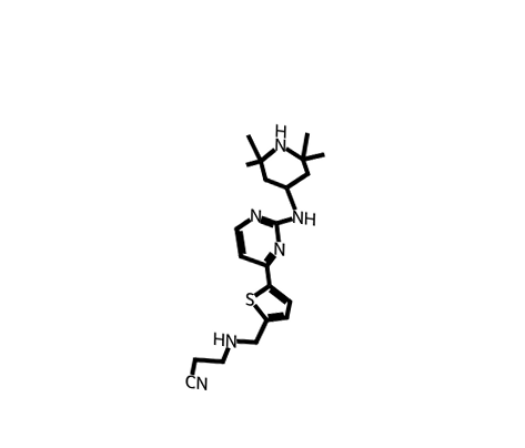 CC1(C)CC(Nc2nccc(-c3ccc(CNCCC#N)s3)n2)CC(C)(C)N1